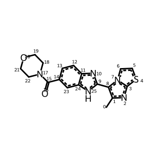 Cc1nc2sccn2c1-c1nc2ccc(C(=O)N3CCOCC3)cc2[nH]1